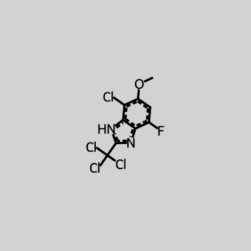 COc1cc(F)c2nc(C(Cl)(Cl)Cl)[nH]c2c1Cl